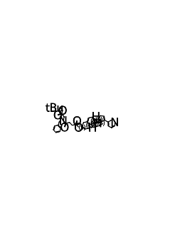 CC(C)(C)OC(=O)CN(Cc1ccccc1)C(=O)CCC(=O)O[C@H]1CC[C@@]2(C)C(=CC[C@@H]3[C@@H]2CC[C@]2(C)C(c4cccnc4)=CC[C@@H]32)C1